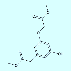 COC(=O)COc1cc(O)cc(CC(=O)OC)c1